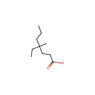 CCCC(C)(CC)CCC(=O)O